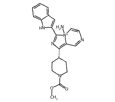 COC(=O)N1CCC(C2=C3C=NC=C[N+]3(N)C(c3cc4ccccc4[nH]3)=N2)CC1